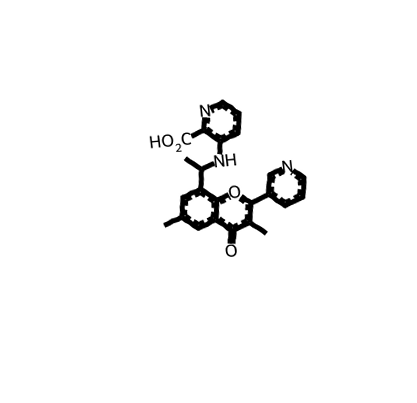 Cc1cc(C(C)Nc2cccnc2C(=O)O)c2oc(-c3cccnc3)c(C)c(=O)c2c1